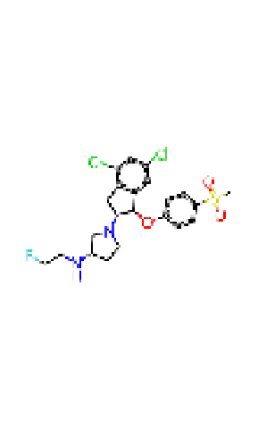 CS(=O)(=O)c1ccc(O[C@@H]2c3cc(Cl)cc(Cl)c3C[C@@H]2N2CC[C@@H](NCCF)C2)cc1